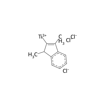 CC1=[C]([Ti+3])C(C)c2ccccc21.[Cl-].[Cl-].[Cl-]